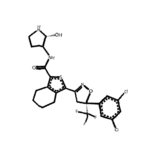 O=C(NC1CCN[C@@H]1O)c1sc(C2=NO[C@](c3cc(Cl)cc(Cl)c3)(C(F)(F)F)C2)c2c1CCCC2